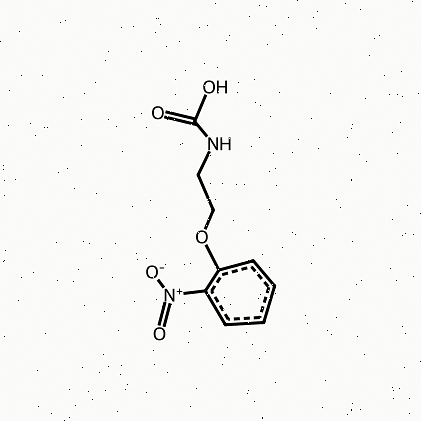 O=C(O)NCCOc1ccccc1[N+](=O)[O-]